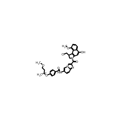 COCC[C@H](C)Oc1ccc(C(=O)Nc2ccc3nc(C(=O)N4CC(CCl)c5c4cc(O)c4cccc(OC)c54)cn3c2)cc1